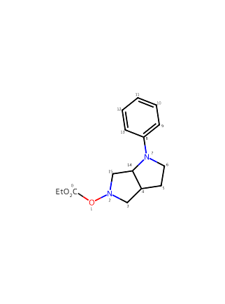 CCOC(=O)ON1CC2CCN(c3ccccc3)C2C1